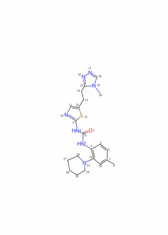 Cc1ccc(NC(=O)Nc2ncc(CCc3nncn3C)s2)c(N2CCCCC2)c1